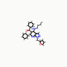 CCCCNc1c(C(=O)c2ccccc2)c(-c2ccccc2)nc2c1cnn2Cc1ccco1